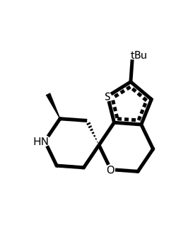 C[C@H]1C[C@@]2(CCN1)OCCc1cc(C(C)(C)C)sc12